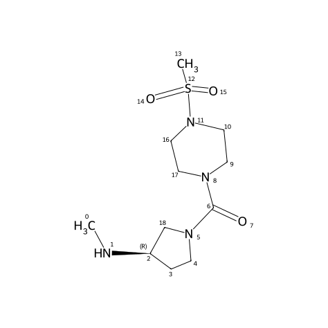 CN[C@@H]1CCN(C(=O)N2CCN(S(C)(=O)=O)CC2)C1